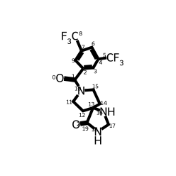 O=C(c1cc(C(F)(F)F)cc(C(F)(F)F)c1)N1CCC2(CC1)NCNC2=O